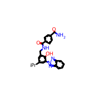 CC(C)c1cc(CNC(=O)c2ccc(C(N)=O)cc2)c(O)c(-n2nc3ccccc3n2)c1